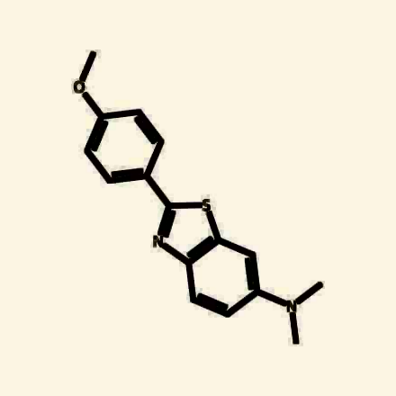 COc1ccc(-c2nc3ccc(N(C)C)cc3s2)cc1